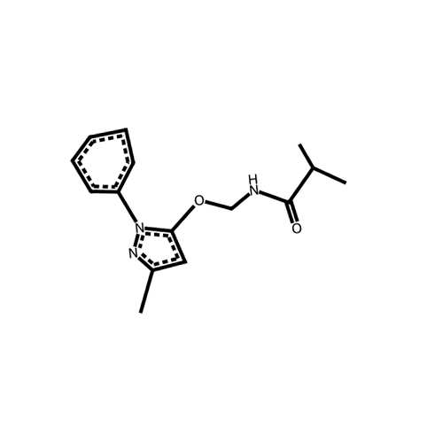 Cc1cc(OCNC(=O)C(C)C)n(-c2ccccc2)n1